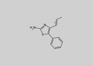 C/C=C/c1nc(N)sc1-c1ccccc1